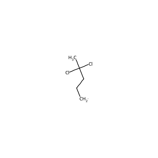 [CH2]CCC(C)(Cl)Cl